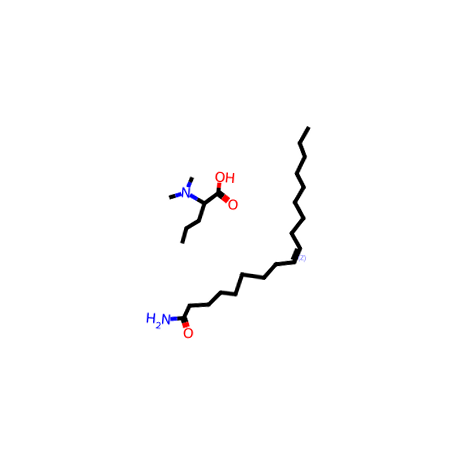 CCCC(C(=O)O)N(C)C.CCCCCCCC/C=C\CCCCCCCC(N)=O